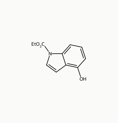 CCOC(=O)n1ccc2c(O)cccc21